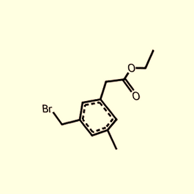 CCOC(=O)Cc1cc(C)cc(CBr)c1